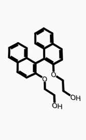 OCCOc1ccc2ccccc2c1-c1c(OCCO)ccc2ccccc12